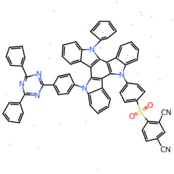 N#Cc1ccc(S(=O)(=O)c2ccc(-n3c4ccccc4c4c5c(c6ccccc6n5-c5ccccc5)c5c(c6ccccc6n5-c5ccc(-c6nc(-c7ccccc7)nc(-c7ccccc7)n6)cc5)c43)cc2)c(C#N)c1